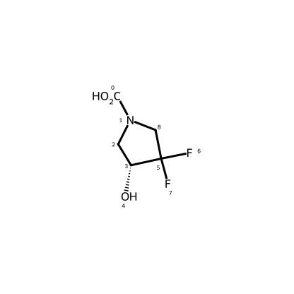 O=C(O)N1C[C@@H](O)C(F)(F)C1